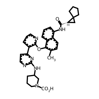 Cc1ccc2c(NC(=O)[C@H]3CC34CCCC4)cccc2c1Oc1ncccc1-c1ccnc(NC2CCCN(C(=O)O)C2)n1